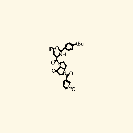 CC(C)CC(NC(=O)c1ccc(C(C)(C)C)cc1)C(=O)N1CCC2C1C(=O)CN2C(=O)c1ccc[n+]([O-])c1